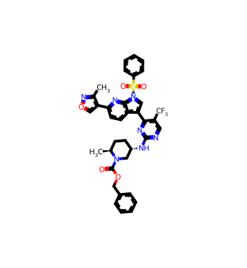 Cc1nocc1-c1ccc2c(-c3nc(N[C@H]4CC[C@H](C)N(C(=O)OCc5ccccc5)C4)ncc3C(F)(F)F)cn(S(=O)(=O)c3ccccc3)c2n1